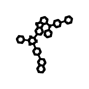 c1ccc(-c2ccc(N(c3ccccc3)c3cccc4oc5cc(-c6nc(-c7ccccc7)nc(-c7ccc(-c8ccc9ccccc9c8)cc7)n6)ccc5c34)cc2)cc1